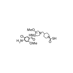 COc1cc(N)c(Cl)cc1C(=O)N[C@@H]1CCN(CC2CCN(C(=O)S)CC2)C[C@@H]1OC